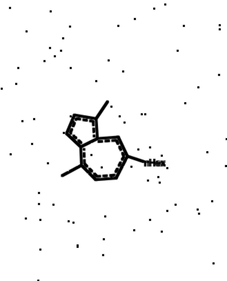 CCCCCCc1ccc(C)c2ccc(C)c-2c1